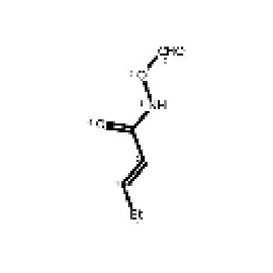 CCC=CC(=O)NOC=O